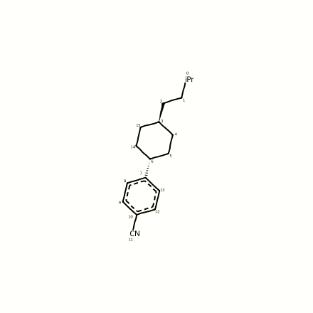 CC(C)CC[C@H]1CC[C@H](c2ccc(C#N)cc2)CC1